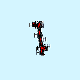 O=C(O)CC(NC(=O)[C@H](COCCOCCOCCOCCNC(=O)NCCCCNC(=O)NCCOCCOCCOCCOC[C@H](NC(=O)CCCCNc1ccccn1)C(=O)NC(CC(=O)O)c1cc(Cl)cc(Cl)c1)NC(=O)CCCCNc1ccccn1)c1cc(Cl)cc(Cl)c1